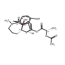 CC(=O)O[C@@H](C)C(=O)OC1=CC[C@@]2(O)[C@H]3Cc4ccc(O)c5c4[C@@]2(CCCN3C)[C@H]1O5